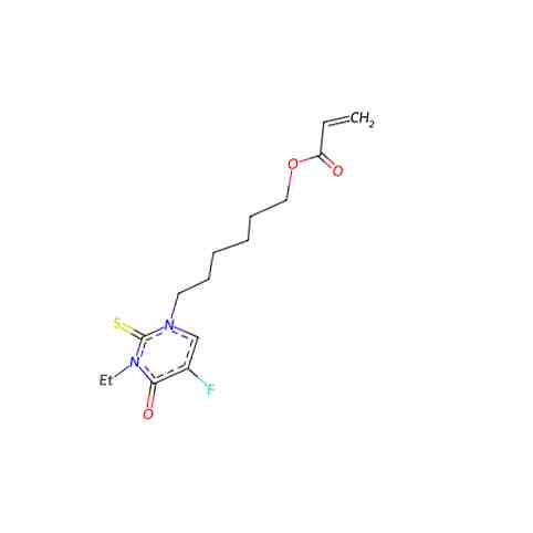 C=CC(=O)OCCCCCCn1cc(F)c(=O)n(CC)c1=S